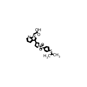 CC(C)Sc1ccc(S(=O)(=O)N2CCC(c3cn(CC(=O)O)c4ncccc34)C2)cc1